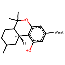 CCCCCc1cc(O)c2c(c1)OC(C)(C)C1CCC(C)C[C@@H]21